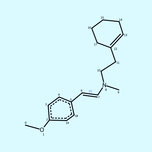 COc1ccc(/C=C/N(C)CCC2=CCCCC2)cc1